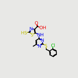 Cc1cc(Nc2sc(S)nc2C(=O)O)nc(SCc2ccccc2Cl)n1